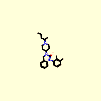 CCCC(C)N1CCC(N(Cc2ccccc2)C(=O)Nc2cccc(C)c2C)CC1